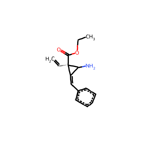 C=C[C@@]1(C(=O)OCC)C(=Cc2ccccc2)C1N